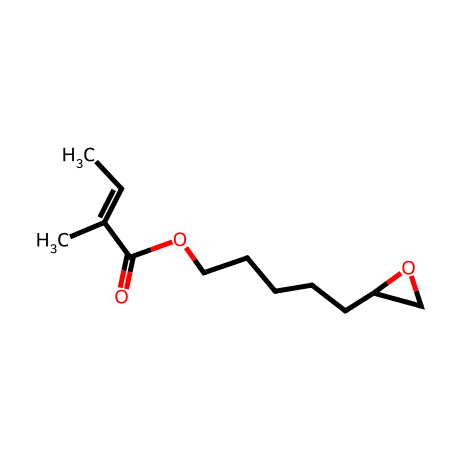 CC=C(C)C(=O)OCCCCCC1CO1